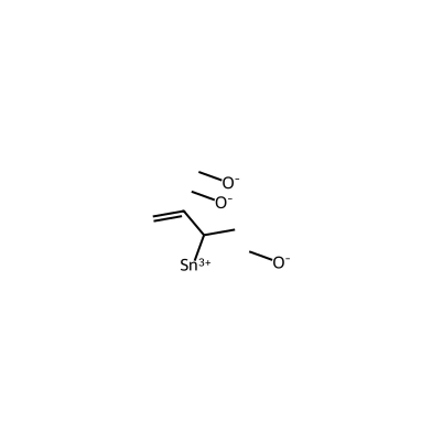 C=C[CH](C)[Sn+3].C[O-].C[O-].C[O-]